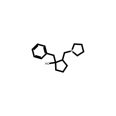 OC1(Cc2ccccc2)CCCC1CN1CCCC1